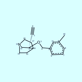 C#C[C@@]1(OCc2cccc(C)c2)CN2CCC1CC2